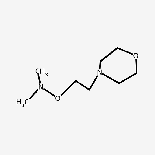 CN(C)OCCN1CCOCC1